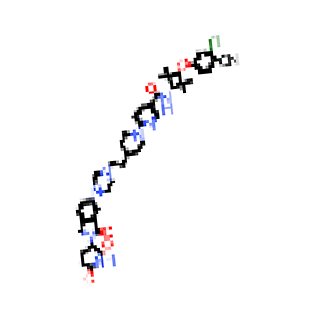 CC1(C)[C@H](NC(=O)c2ccc(N3CCC(CCN4CCN(c5ccc6c(c5)C(=O)N(C5CCC(=O)NC5=O)C6)CC4)CC3)nc2)C(C)(C)[C@H]1Oc1ccc(C#N)c(Cl)c1